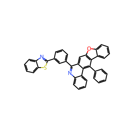 c1ccc(-c2c3c(cc4c(-c5cccc(-c6nc7ccccc7s6)c5)nc5ccccc5c24)oc2ccccc23)cc1